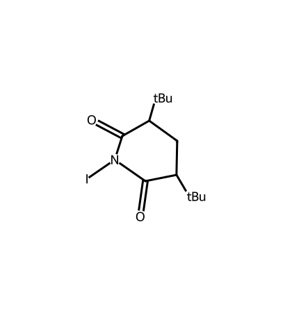 CC(C)(C)C1CC(C(C)(C)C)C(=O)N(I)C1=O